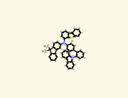 CC1(C)c2ccccc2-c2cc(N(c3ccc(-c4ccccc4-n4c5ccccc5c5ccccc54)cc3)c3cccc4c3sc3ccccc34)ccc21